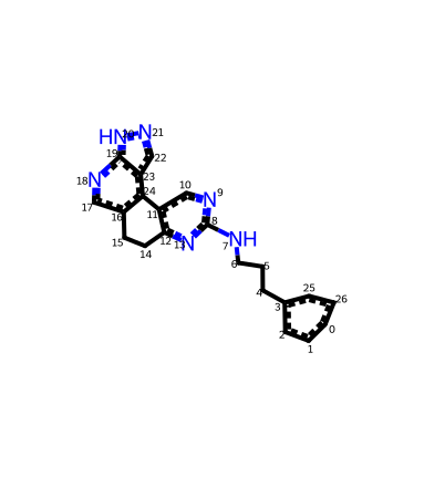 c1ccc(CCCNc2ncc3c(n2)CCc2cnc4[nH]ncc4c2-3)cc1